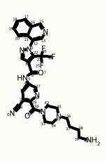 N#Cc1cc(NC(=O)c2cnn(-c3cncc4ccccc34)c2C(F)(F)F)cnc1C(=O)N1CCN(CCCCN)CC1